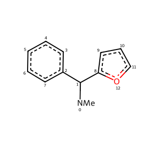 CNC(c1ccccc1)c1ccco1